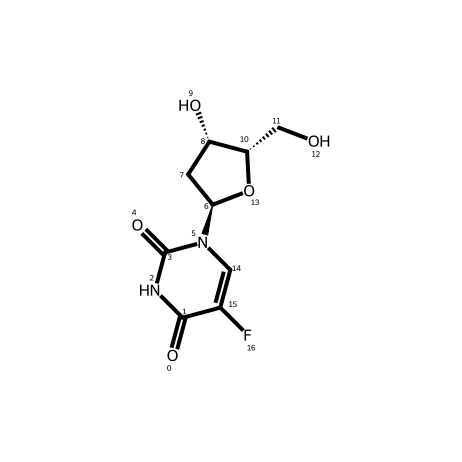 O=c1[nH]c(=O)n([C@H]2C[C@H](O)[C@H](CO)O2)cc1F